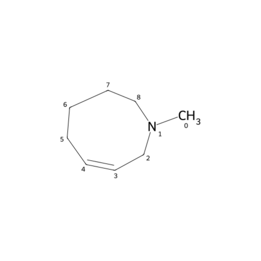 CN1CC=CCCCC1